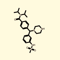 CC(C)N(C(=O)c1ccc(C(c2cccc(NS(C)(=O)=O)c2)N2CCNCC2)cc1)C(C)C